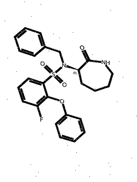 O=C1NCCCC[C@H]1N(Cc1ccccc1)S(=O)(=O)c1cccc(F)c1Oc1ccccc1